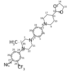 C[C@@H]1CN(c2ccc(N3CCC(C4OCCO4)CC3)cc2)CCN1c1ccc(C#N)c(C(F)(F)F)c1